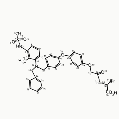 Cc1c(NS(C)(=O)=O)cccc1N(Cc1ccccc1)Cc1ccc(Oc2ccc(OCC(=O)N[C@H](C(=O)O)C(C)C)cc2)cc1